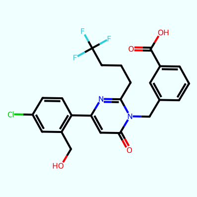 O=C(O)c1cccc(Cn2c(CCCC(F)(F)F)nc(-c3ccc(Cl)cc3CO)cc2=O)c1